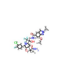 C[C@]1(C(N)=O)COc2c1cc([C@@](O)(CNC(=O)c1cc(OC3CC3)c3nn(C4CC4)cc3c1)C(F)(F)F)nc2-c1ccc(F)c(Cl)c1